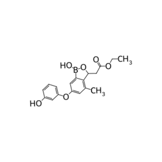 CCOC(=O)CC1OB(O)c2cc(Oc3cccc(O)c3)cc(C)c21